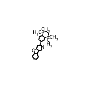 CC1(C)CCC(C)(C)c2cc(-c3cc4oc5ccccc5c4cn3)ccc21